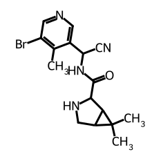 Cc1c(Br)cncc1C(C#N)NC(=O)C1NCC2C1C2(C)C